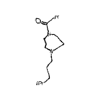 CC(C)CCCN1CCN(C(=O)C(C)C)CC1